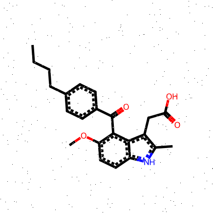 CCCCc1ccc(C(=O)c2c(OC)ccc3[nH]c(C)c(CC(=O)O)c23)cc1